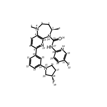 C[C@@H]1CCN(C)c2ccc(-c3cccc(N4CC[C@@H](F)C4)c3)nc2N1C(=O)Nc1ccc(F)cn1